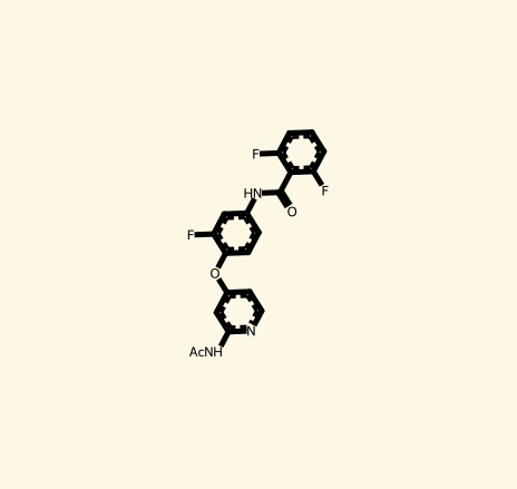 CC(=O)Nc1cc(Oc2ccc(NC(=O)c3c(F)cccc3F)cc2F)ccn1